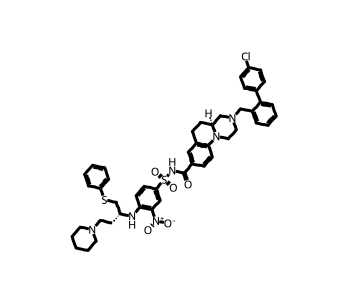 O=C(NS(=O)(=O)c1ccc(N[C@H](CCN2CCCCC2)CSc2ccccc2)c([N+](=O)[O-])c1)c1ccc2c(c1)CC[C@H]1CN(Cc3ccccc3-c3ccc(Cl)cc3)CCN21